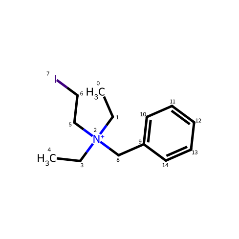 CC[N+](CC)(CCI)Cc1ccccc1